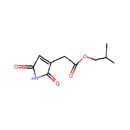 CC(C)COC(=O)CC1=CC(=O)NC1=O